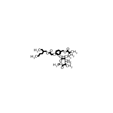 C=C(C)C(=O)O.C=C(C)C(=O)OC.C=C(C)C(=O)OCc1ccccc1.C=CC(=O)OCC(CC)CCCC